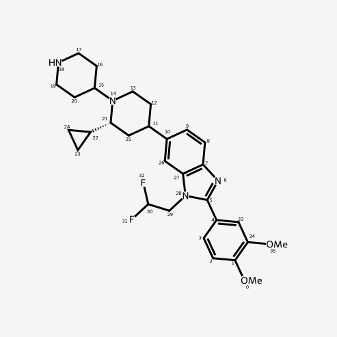 COc1ccc(-c2nc3ccc(C4CCN(C5CCNCC5)[C@@H](C5CC5)C4)cc3n2CC(F)F)cc1OC